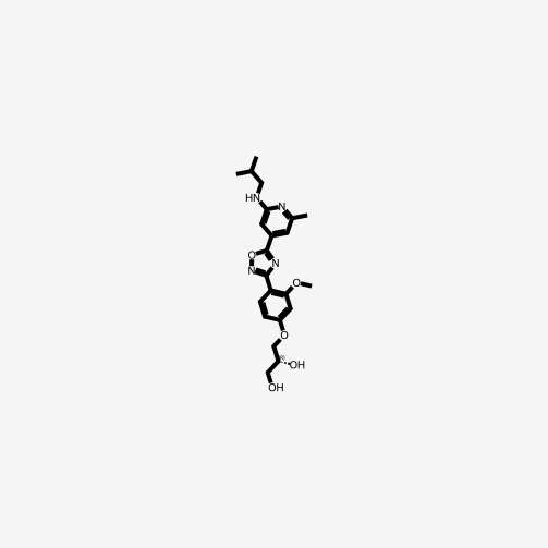 COc1cc(OC[C@H](O)CO)ccc1-c1noc(-c2cc(C)nc(NCC(C)C)c2)n1